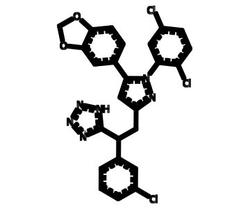 Clc1cccc(C(Cc2cc(-c3ccc4c(c3)OCO4)n(-c3cc(Cl)ccc3Cl)n2)c2nnn[nH]2)c1